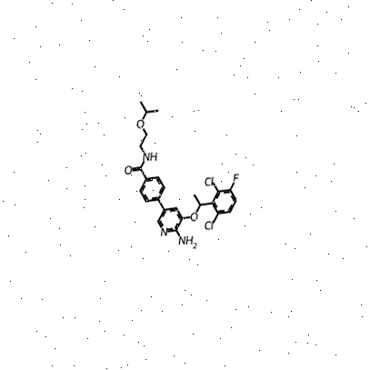 CC(C)OCCNC(=O)c1ccc(-c2cnc(N)c(OC(C)c3c(Cl)ccc(F)c3Cl)c2)cc1